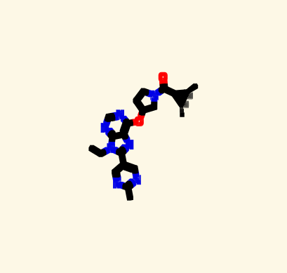 CCn1c(-c2cnc(C)nc2)nc2c(OC3CCN(C(=O)C4[C@@H](C)[C@@H]4C)C3)ncnc21